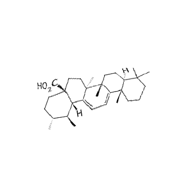 C[C@H]1[C@H](C)CC[C@]2(C(=O)O)CC[C@]3(C)C(=CC=C4[C@@]5(C)CCCC(C)(C)[C@@H]5CC[C@]43C)[C@H]12